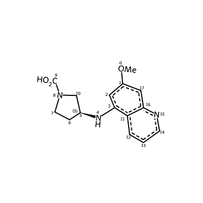 COc1cc(N[C@H]2CCN(C(=O)O)C2)c2cccnc2c1